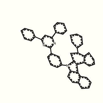 c1ccc(-c2cc(-c3ccccc3)nc(-c3cccc(-n4c5ccc6ccccc6c5c5c6ccccc6c(-c6ccccc6)cc54)c3)n2)cc1